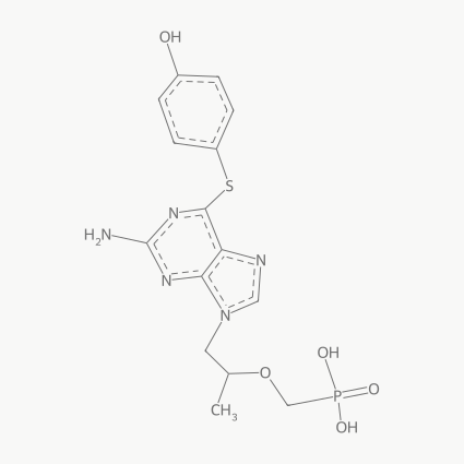 CC(Cn1cnc2c(Sc3ccc(O)cc3)nc(N)nc21)OCP(=O)(O)O